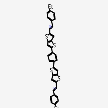 CCc1ccc(/C=C/c2cc3sc(-c4ccc(-c5cc6sc(/C=C/c7ccc(CC)cc7)cc6s5)cc4)cc3s2)cc1